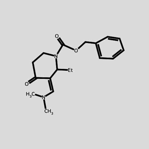 CCC1C(=CN(C)C)C(=O)CCN1C(=O)OCc1ccccc1